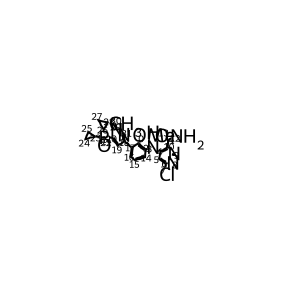 COc1c(Nc2cc(Cl)nnc2C(N)=O)cccc1-c1cc(P(=O)(C2CC2)C2CC2)n(C)n1